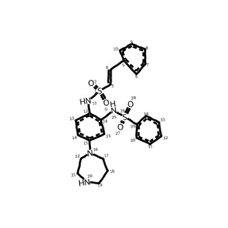 O=S(=O)(/C=C/c1ccccc1)Nc1ccc(N2CCCNCC2)cc1NS(=O)(=O)c1ccccc1